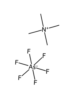 C[N+](C)(C)C.F[As-](F)(F)(F)(F)F